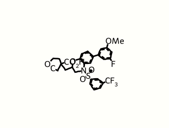 COc1cc(F)cc(-c2ccc3c(c2)N(S(=O)(=O)c2cccc(C(F)(F)F)c2)CC(CC2(C(=O)O)CCOCC2)O3)c1